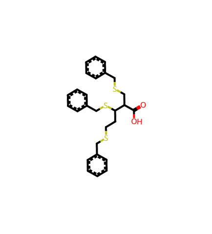 O=C(O)C(CSCc1ccccc1)C(CCSCc1ccccc1)SCc1ccccc1